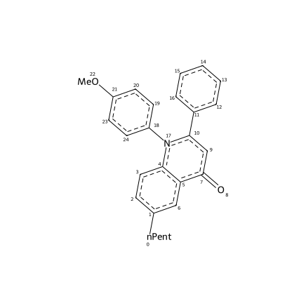 CCCCCc1ccc2c(c1)c(=O)cc(-c1ccccc1)n2-c1ccc(OC)cc1